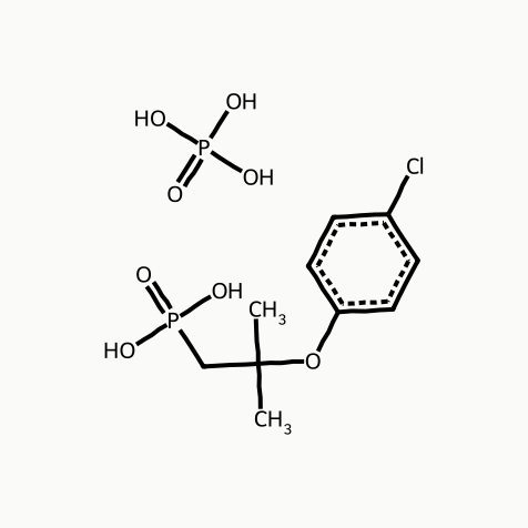 CC(C)(CP(=O)(O)O)Oc1ccc(Cl)cc1.O=P(O)(O)O